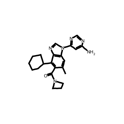 Cc1cc2c(ncn2-c2cc(N)ncn2)c(C2CCCCC2)c1C(=O)N1CCC1